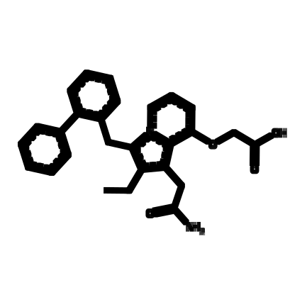 CCc1c(CC(N)=O)c2c(OCC(=O)O)cccn2c1Cc1ccccc1-c1ccccc1